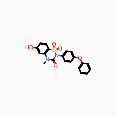 CN1C(=O)N(c2ccc(Oc3ccccc3)cc2)S(=O)(=O)c2ccc(O)cc21